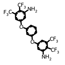 Nc1cc(Oc2cccc(Oc3cc(N)c(C(F)(F)F)c(C(F)(F)F)c3)c2)cc(C(F)(F)F)c1C(F)(F)F